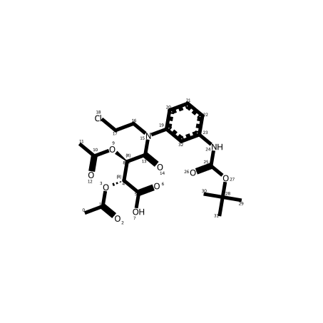 CC(=O)O[C@@H](C(=O)O)[C@@H](OC(C)=O)C(=O)N(CCCl)c1cccc(NC(=O)OC(C)(C)C)c1